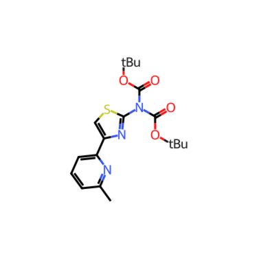 Cc1cccc(-c2csc(N(C(=O)OC(C)(C)C)C(=O)OC(C)(C)C)n2)n1